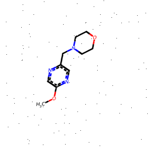 COc1cnc(CN2CCOCC2)cn1